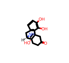 O=C1CC[C@@]2(O)[C@H]3Cc4ccc(O)c(O)c4[C@@]2(CCN3)C1